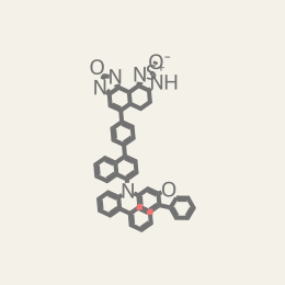 O=C1N=C2C=C(c3ccc(-c4ccc(N(c5ccc6c(c5)oc5ccccc56)c5ccccc5-c5ccccc5)c5ccccc45)cc3)C3CCC4N[S+]([O-])N=C4C3C2=N1